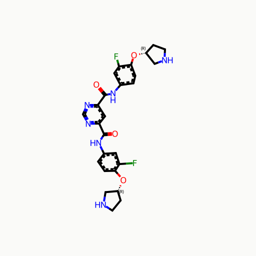 O=C(Nc1ccc(O[C@@H]2CCNC2)c(F)c1)c1cc(C(=O)Nc2ccc(O[C@@H]3CCNC3)c(F)c2)ncn1